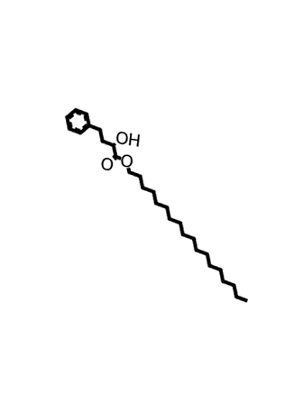 CCCCCCCCCCCCCCCCCCOC(=O)[C@H](O)CCc1ccccc1